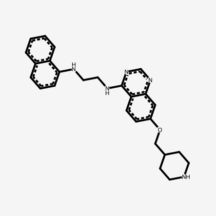 c1ccc2c(NCCNc3ncnc4cc(OCC5CCNCC5)ccc34)cccc2c1